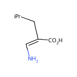 CC(C)CC(=CN)C(=O)O